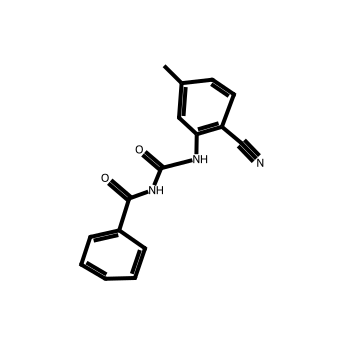 Cc1ccc(C#N)c(NC(=O)NC(=O)c2ccccc2)c1